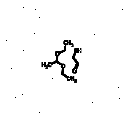 CCOC(C)OCC.O=CCS